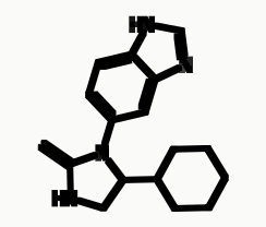 C=C1NCC(C2CCCCC2)N1c1ccc2[nH]cnc2c1